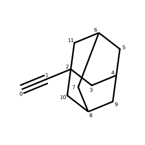 C#CC12CC3CC(CC(C3)C1)C2